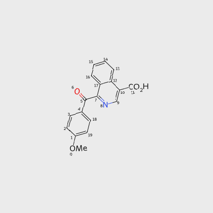 COc1ccc(C(=O)c2ncc(C(=O)O)c3ccccc23)cc1